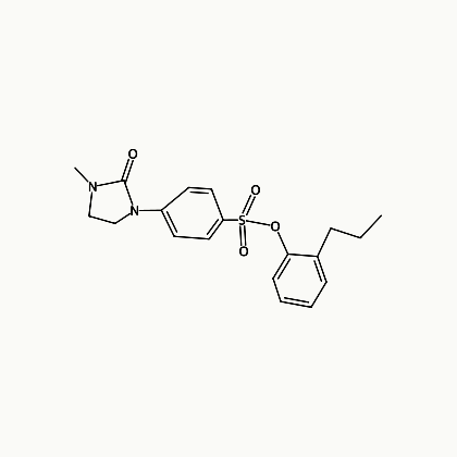 CCCc1ccccc1OS(=O)(=O)c1ccc(N2CCN(C)C2=O)cc1